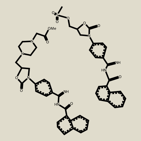 COC(=O)CN1CCN(CC2CN(c3ccc(C(=N)NC(=O)c4cccc5ccccc45)cc3)C(=O)O2)CC1.CS(=O)(=O)OCC1CN(c2ccc(C(=N)NC(=O)c3cccc4ccccc34)cc2)C(=O)O1